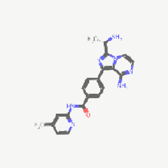 C[C@H](N)c1nc(-c2ccc(C(=O)Nc3cc(C(F)(F)F)ccn3)cc2)c2c(N)nccn12